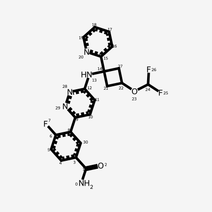 NC(=O)c1ccc(F)c(-c2ccc(NC3(c4ccccn4)CC(OC(F)F)C3)nn2)c1